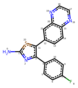 Nc1nc(-c2ccc(F)cc2)c(-c2ccc3nccnc3c2)s1